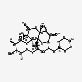 CCC(C(C)CCC(=O)OCCN1CCOCC1)[C@@H](C)C(=O)C[C@@]1(N)[C@@H](N)C(=O)C[C@]2(N)CC(=O)CC[C@@]21C